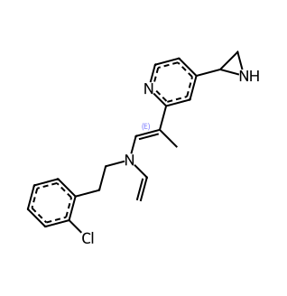 C=CN(/C=C(\C)c1cc(C2CN2)ccn1)CCc1ccccc1Cl